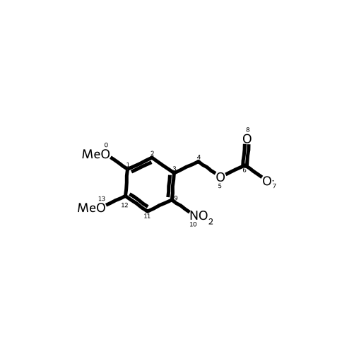 COc1cc(COC([O])=O)c([N+](=O)[O-])cc1OC